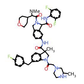 CNC(C(=O)N1Cc2ccc(NC(=O)C3(C)CN(C(=O)CN4CCNC(C)C4)c4cc(Cc5ccc(F)cc5)ccc43)cc2C1C(=O)Nc1c(F)cccc1F)C1CCOCC1